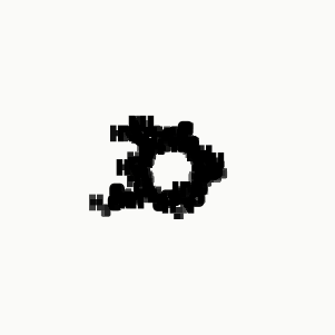 CC(=O)NCCCC[C@@H]1NC(=O)CSC[C@@H](C(N)=O)NC(=O)[C@H](Cc2ccccc2)NC(=O)[C@H](CS)NC(=O)[C@H](CC(=O)O)NC(=O)CNC(=O)[C@H](CCCNC(=N)N)NC(=O)[C@H](CS)NC1=O